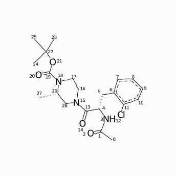 CC(=O)N[C@@H](Cc1ccccc1Cl)C(=O)N1CCN(C(=O)OC(C)(C)C)[C@@H](C)C1